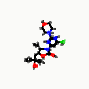 C[C@H]1[C@H](CC(C)(C)O)OC(=O)N1c1cc(Cl)nc(N2CCOCC2)n1